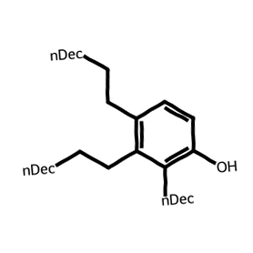 CCCCCCCCCCCCc1ccc(O)c(CCCCCCCCCC)c1CCCCCCCCCCCC